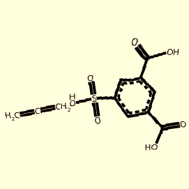 C=C=C.O=C(O)c1cc(C(=O)O)cc(S(=O)(=O)O)c1